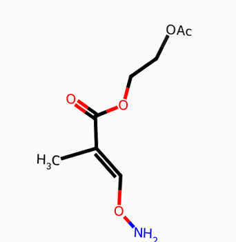 CC(=O)OCCOC(=O)C(C)=CON